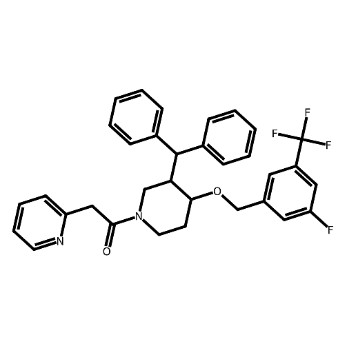 O=C(Cc1ccccn1)N1CCC(OCc2cc(F)cc(C(F)(F)F)c2)C(C(c2ccccc2)c2ccccc2)C1